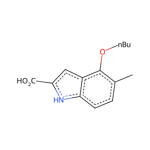 CCCCOc1c(C)ccc2[nH]c(C(=O)O)cc12